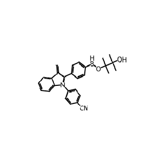 C=C1c2ccccc2N(c2ccc(C#N)cc2)C1c1ccc(BOC(C)(C)C(C)(C)O)cc1